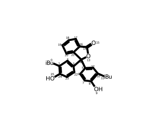 CCC(C)c1cc(C2(c3ccc(O)c(C(C)CC)c3)OC(=O)c3ccccc32)ccc1O